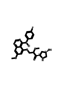 COc1cc(OCC(OC)C(=O)[C@H]2C[C@H](O)CN2)c2c(N(Cl)c3ccc(F)cc3)ncnc2c1